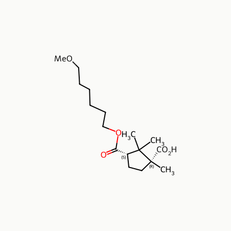 COCCCCCCOC(=O)[C@H]1CC[C@@](C)(C(=O)O)C1(C)C